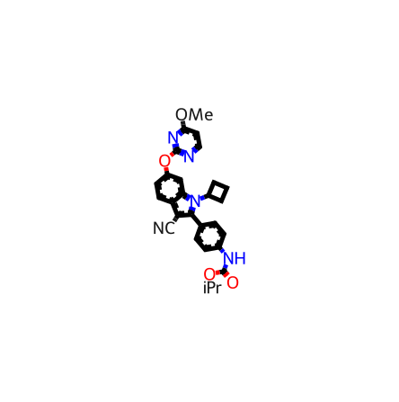 COc1ccnc(Oc2ccc3c(C#N)c(-c4ccc(NC(=O)OC(C)C)cc4)n(C4CCC4)c3c2)n1